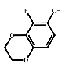 Oc1ccc2c(c1F)OCCO2